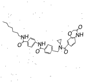 CCCCCCCNC(=O)c1ccc(NC(=O)c2ccc(CN(C(=O)c3ccc4c(c3)OCC(=O)N4)C3CC3)cc2)cc1